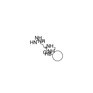 N=C(N)NCCC[C@H](N)C(=O)NBC1CCCCCCCCCCC1